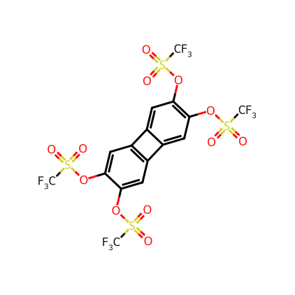 O=S(=O)(Oc1cc2c(cc1OS(=O)(=O)C(F)(F)F)-c1cc(OS(=O)(=O)C(F)(F)F)c(OS(=O)(=O)C(F)(F)F)cc1-2)C(F)(F)F